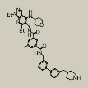 CCc1nc2c(cnn2CC)c(NC2CCOCC2)c1CNC(=O)c1cc(C)cc(C(=O)NCc2cccc(-c3cccc(CC4CCNCC4)c3)c2)c1